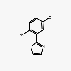 Sc1ccc(Cl)cc1-c1nccs1